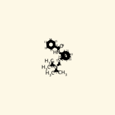 CC(C)N(CS[C]12[CH]3[CH]4[CH]5[C]1(NC(=O)c1ccccc1)[Fe]45321678[CH]2[CH]1[CH]6[CH]7[CH]28)C(C)C